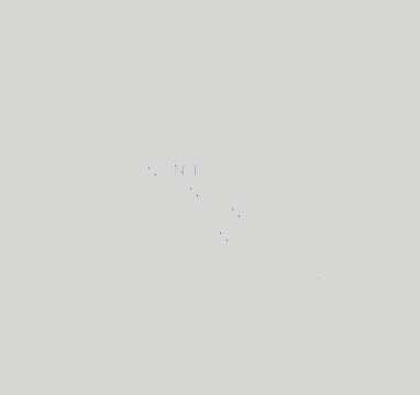 CC1=C(C)N(NN=C(N=Nc2cccc(C(F)(F)F)c2)c2ccc(Br)cc2)CS1